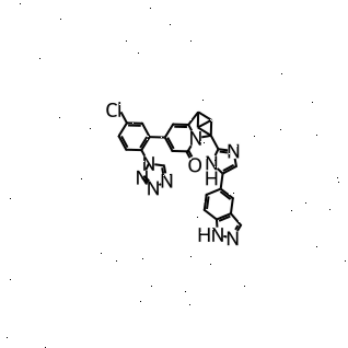 O=c1cc(-c2cc(Cl)ccc2-n2cnnn2)cc2n1C1(c3ncc(-c4ccc5[nH]ncc5c4)[nH]3)C3C2C31